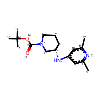 Cc1cc(N[C@H]2CCCN(C(=O)OC(C)(C)C)C2)cc(C)n1